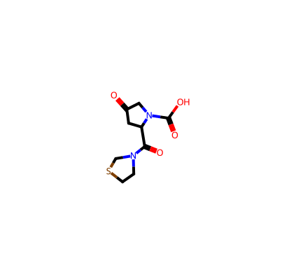 O=C1CC(C(=O)N2CCSC2)N(C(=O)O)C1